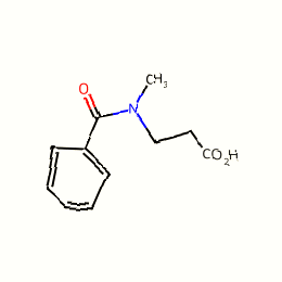 CN(CCC(=O)O)C(=O)c1ccccc1